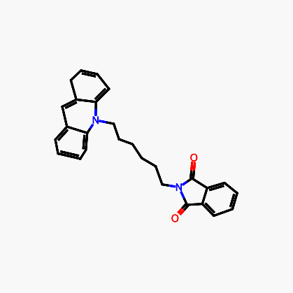 O=C1c2ccccc2C(=O)N1CCCCCCN1C2=CC=CCC2=Cc2ccccc21